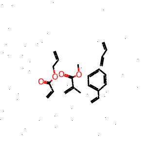 C=C(C)C(=O)OC.C=CC=C.C=CCOC(=O)C=C.C=Cc1ccccc1